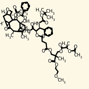 COCCOC(=O)C(C)(COC(=O)CCC(=O)O[C@@H](C(=O)O[C@H]1C[C@@]2(O)[C@@H](OC(=O)c3ccccc3)[C@@H]3[C@]4(OC(C)=O)CO[C@@H]4C[C@@H]4C[C@@]43C(=O)[C@H](C)C(=C1C)C2(C)C)[C@@H](NC(=O)OC(C)(C)C)c1ccccc1)COC(=O)C(C)OC(C)=O